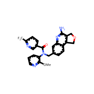 COc1ncccc1N(Cc1ccc2c3c(c(N)nc2c1)COC3)C(=O)c1ccc(C(F)(F)F)nc1